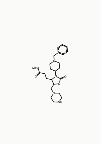 COC(=O)CCC1C(CN2CCNCC2)OC(=O)N1C1CCN(Cc2ccccc2)CC1